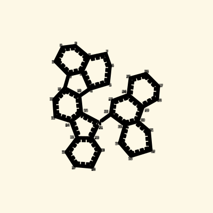 c1cc2c3c(cccc3c1)-c1c-2ccc2c3ccccc3n(-c3cc4ccccc4c4ccccc34)c12